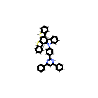 c1ccc(-c2cc(-c3ccccc3)nc(-c3ccc(-n4c5ccccc5c5c6c7ccccc7sc6c6sc7ccccc7c6c54)cc3)n2)cc1